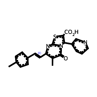 Cc1ccc(/C=C/c2nc3sc(C(=O)O)c(-c4cccnc4)n3c(=O)c2C)cc1